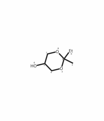 CCC1(C)OCC(O)CO1